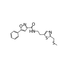 CSCc1ncc(CCNC(=O)c2cc(-c3ccccc3)on2)s1